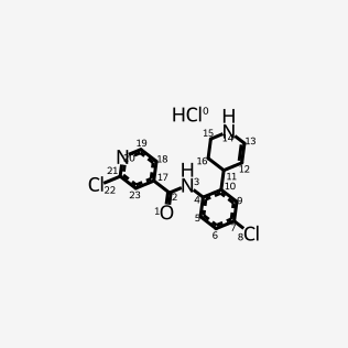 Cl.O=C(Nc1ccc(Cl)cc1C1C=CNCC1)c1ccnc(Cl)c1